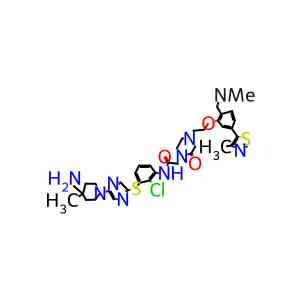 CNCc1ccc(-c2scnc2C)cc1OCCN1CCN(CC(=O)Nc2cccc(Sc3cnc(N4CCC(C)(CN)CC4)cn3)c2Cl)C(=O)C1